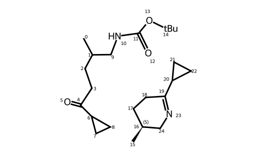 CC(CCC(=O)C1CC1)CNC(=O)OC(C)(C)C.C[C@H]1CCC(C2CC2)=NC1